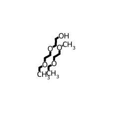 CCOCCOC.CCOCCOCCO